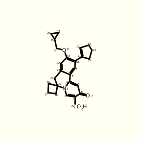 O=C(O)c1cn2c(cc1=O)-c1cc(C3=CCCC3)c(OCC3CC3)cc1CC21CCC1